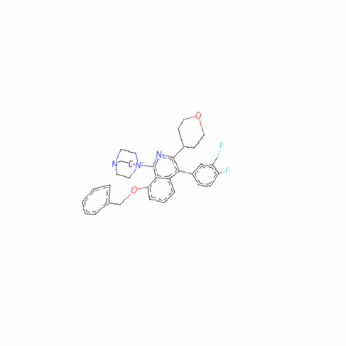 Fc1ccc(-c2c(C3CCOCC3)nc([N+]34CCN(CC3)CC4)c3c(OCc4ccccc4)cccc23)cc1F